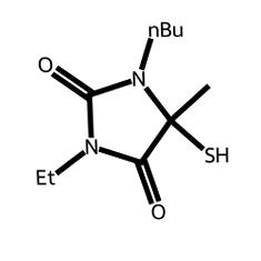 CCCCN1C(=O)N(CC)C(=O)C1(C)S